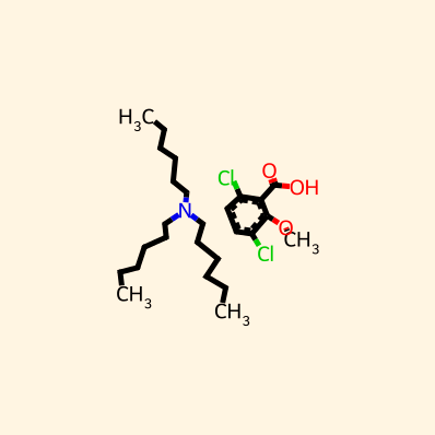 CCCCCCN(CCCCCC)CCCCCC.COc1c(Cl)ccc(Cl)c1C(=O)O